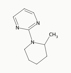 CC1CCCCN1c1ncccn1